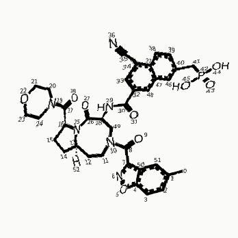 Cc1ccc2onc(C(=O)N3CC[C@H]4CC[C@@H](C(=O)N5CCOCC5)N4C(=O)[C@@H](NC(=O)c4cc(C#N)c5ccc(CP(=O)(O)O)cc5c4)C3)c2c1